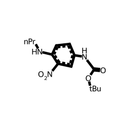 CCCNc1ccc(NC(=O)OC(C)(C)C)cc1[N+](=O)[O-]